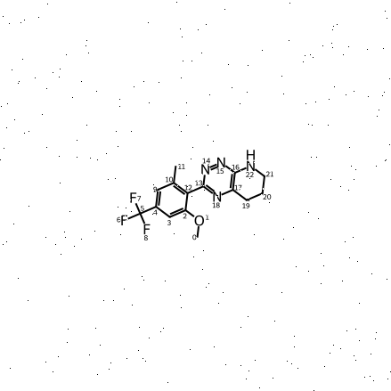 COc1cc(C(F)(F)F)cc(C)c1-c1nnc2c(n1)CCCN2